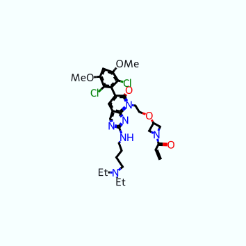 C=CC(=O)N1CC(OCCn2c(=O)c(-c3c(Cl)c(OC)cc(OC)c3Cl)cc3cnc(NCCCCN(CC)CC)nc32)C1